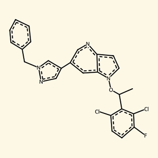 CC(On1ccc2ncc(-c3cnn(Cc4ccccc4)c3)cc21)c1c(Cl)ccc(F)c1Cl